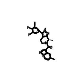 Cc1ccn2ncc(C(=O)N3CCc4c(nn(C)c4-c4cc(F)c(F)c(F)c4)[C@@H]3C)c2c1